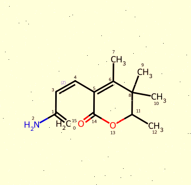 C=C(N)/C=C\C1=C(C)C(C)(C)C(C)OC1=O